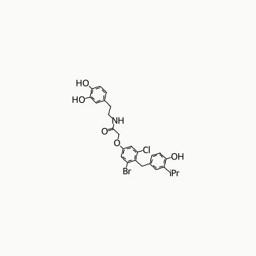 CC(C)c1cc(Cc2c(Cl)cc(OCC(=O)NCCc3ccc(O)c(O)c3)cc2Br)ccc1O